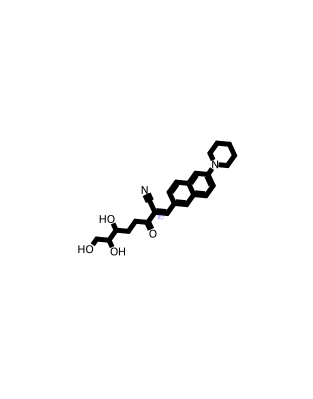 N#C/C(=C\c1ccc2cc(N3CCCCC3)ccc2c1)C(=O)CCC(O)C(O)CO